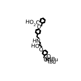 CC(C)(C)[Si]1(C(C)(C)C)OCc2cc(OC[C@@H](O)CNCCc3ccc(OCc4ccccc4C(=O)O)cc3)ccc2O1